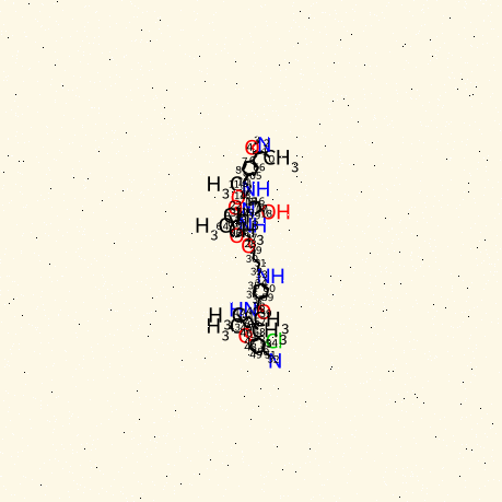 Cc1ncoc1-c1ccc([C@H](C)NC(=O)[C@@H]2C[C@@H](O)CN2C(=O)[C@@H](NC(=O)COCCCCNc2ccc(C(=O)N[C@H]3C(C)(C)[C@H](Oc4ccc(C#N)c(Cl)c4)C3(C)C)cc2)C(C)(C)C)cc1